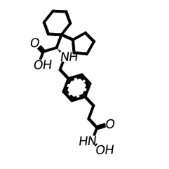 O=C(CCc1ccc(CN[C@H](C(=O)O)C2(C3CCCC3)CCCCC2)cc1)NO